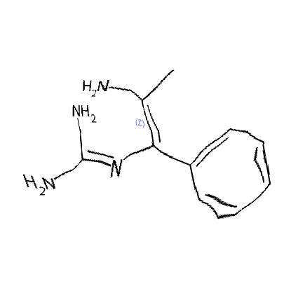 C/C(N)=C(/N=C(N)N)c1ccccc1